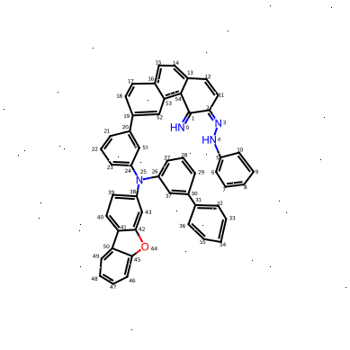 N=C1/C(=N\Nc2ccccc2)C=Cc2ccc3ccc(-c4cccc(N(c5cccc(-c6ccccc6)c5)c5ccc6c(c5)oc5ccccc56)c4)cc3c21